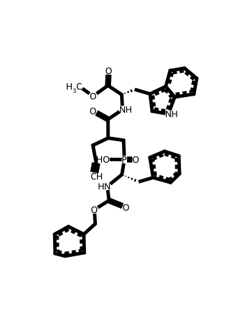 C#CCC(CP(=O)(O)[C@H](Cc1ccccc1)NC(=O)OCc1ccccc1)C(=O)N[C@@H](Cc1c[nH]c2ccccc12)C(=O)OC